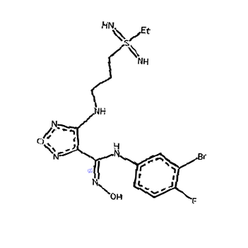 CCS(=N)(=N)CCCNc1nonc1/C(=N/O)Nc1ccc(F)c(Br)c1